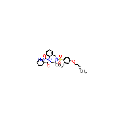 C=C=CCOc1ccc(S(=O)(=O)N2Cc3ccccc3[N+](C(N)=O)(C(=O)c3ccccc3)CC2C(=O)O)cc1